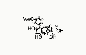 CCc1c(O)cc(O)c(-c2cccc(OC)c2)c1CC1O[C@H](CO)[C@@H](CO)O1